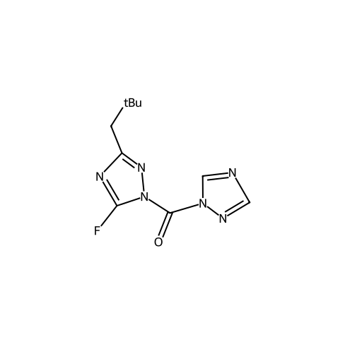 CC(C)(C)Cc1nc(F)n(C(=O)n2cncn2)n1